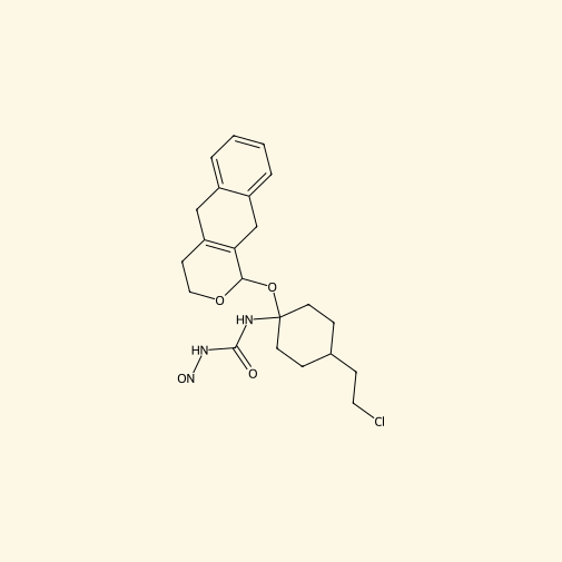 O=NNC(=O)NC1(OC2OCCC3=C2Cc2ccccc2C3)CCC(CCCl)CC1